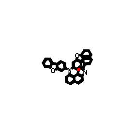 C1=Cc2c(oc3cc(N(c4ccc5c(c4)oc4ccccc45)c4cccc5ccc6nc(-c7ccccc7)oc6c45)ccc23)CC1